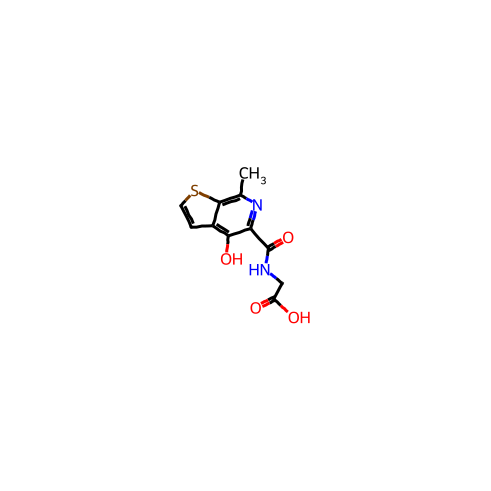 Cc1nc(C(=O)NCC(=O)O)c(O)c2ccsc12